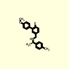 COc1ccc(-c2cc(CN[C@H](C)c3ccc(C)cc3)ccc2F)cc1